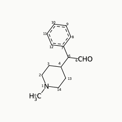 CN1CCC([C](C=O)c2ccccc2)CC1